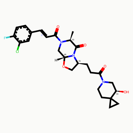 C[C@H]1C(=O)N2[C@@H](CCC(=O)N3CCC4(CC4)[C@H](O)C3)CO[C@@H]2CN1C(=O)/C=C/c1ccc(F)c(Cl)c1